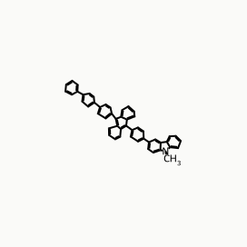 Cn1c2ccccc2c2cc(-c3ccc(-c4c5ccccc5c(-c5ccc(-c6ccc(-c7ccccc7)cc6)cc5)c5ccccc45)cc3)ccc21